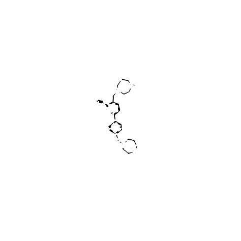 CN1CCCN(Cc2ccc(-c3ccc(CN4CCCN(C)CC4)c(C#N)c3)cc2)CC1